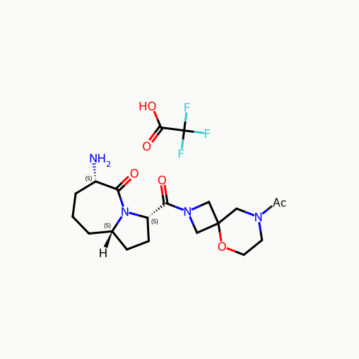 CC(=O)N1CCOC2(C1)CN(C(=O)[C@@H]1CC[C@@H]3CCC[C@H](N)C(=O)N31)C2.O=C(O)C(F)(F)F